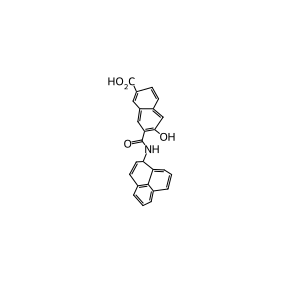 O=C(O)c1ccc2cc(O)c(C(=O)NC3C=Cc4cccc5cccc3c45)cc2c1